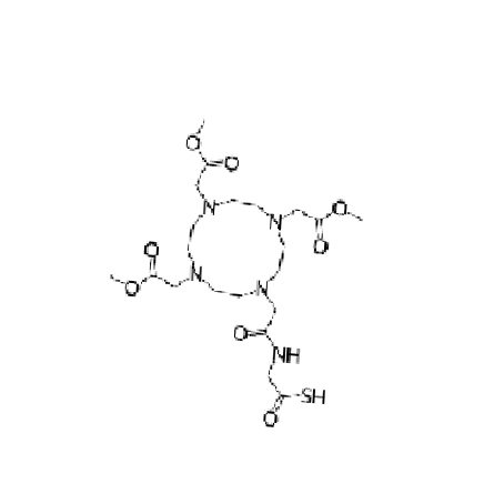 COC(=O)CN1CCN(CC(=O)NCC(=O)S)CCN(CC(=O)OC)CCN(CC(=O)OC)CC1